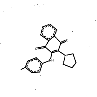 Cc1ccc(NC2=C(N3CCCC3)C(=O)c3ccccc3C2=O)cc1